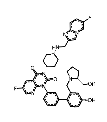 O=c1c2cc(F)cnc2n(-c2cccc(-c3ccc(O)cc3CN3CCC[C@@H]3CO)c2)c(=O)n1[C@H]1CC[C@@H](NCc2cn3cc(F)ccc3n2)CC1